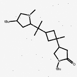 CN1CC(C(C)(C)C)CC1C(C)(C)C1CC(C)(C2CC(=O)N(C(C)(C)C)C2)C1